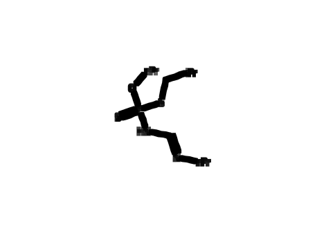 CCCN=CNP(=S)(OCCC)SCC(C)C